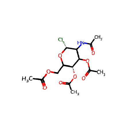 CC(=O)NC1C(OC(C)=O)[C@H](OC(C)=O)C(COC(C)=O)O[C@@H]1Cl